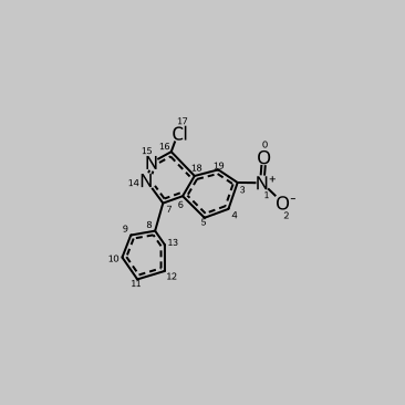 O=[N+]([O-])c1ccc2c(-c3ccccc3)nnc(Cl)c2c1